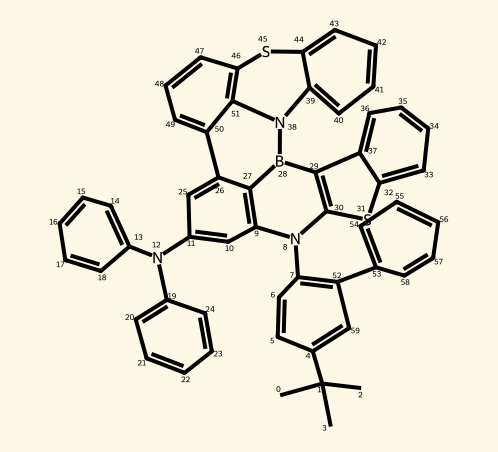 CC(C)(C)c1ccc(N2c3cc(N(c4ccccc4)c4ccccc4)cc4c3B(c3c2sc2ccccc32)N2c3ccccc3Sc3cccc-4c32)c(-c2ccccc2)c1